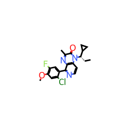 CC[C@@H](C1CC1)n1c(=O)c(C)nc2c(-c3cc(F)c(OC)cc3Cl)nccc21